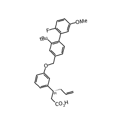 C=CC[C@H](CC(=O)O)c1cccc(OCc2ccc(-c3cc(OC)ccc3F)c(C(C)(C)C)c2)c1